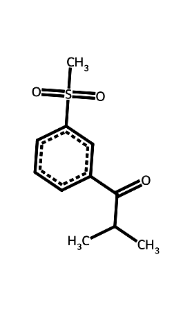 CC(C)C(=O)c1cccc(S(C)(=O)=O)c1